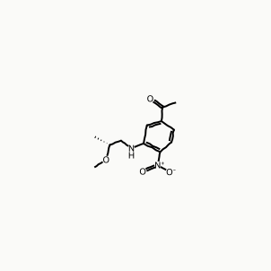 CO[C@H](C)CNc1cc(C(C)=O)ccc1[N+](=O)[O-]